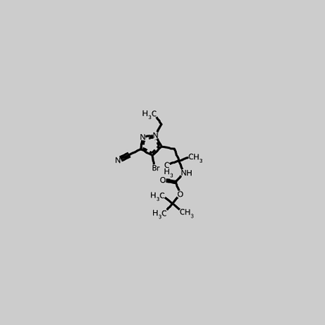 CCn1nc(C#N)c(Br)c1CC(C)(C)NC(=O)OC(C)(C)C